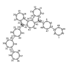 c1ccc(-c2ccc(-n3c4ccccc4c4c5c6ccccc6n(-c6ccc(-c7cccc(-c8ccccc8)c7)cc6)c5ccc43)cc2)cc1